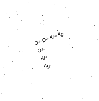 [Ag].[Ag].[Al+3].[Al+3].[O-2].[O-2].[O-2]